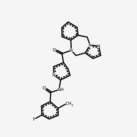 Cc1ccc(F)cc1C(=O)Nc1ccc(C(=O)N2Cc3ccnn3Cc3ccccc32)cn1